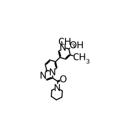 CC1=CC(c2ccc3ncc(C(=O)N4CCCCC4)n3c2)=CN(C)C1O